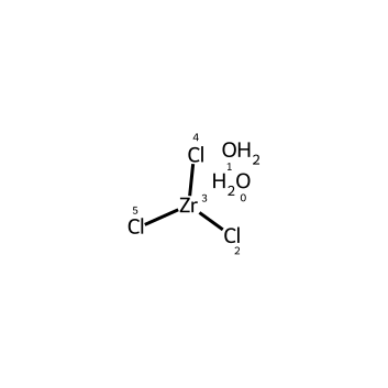 O.O.[Cl][Zr]([Cl])[Cl]